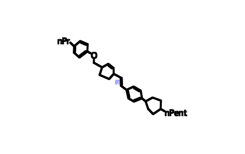 CCCCCC1CCC(c2ccc(/C=C/C3C=CC(COc4ccc(CCC)cc4)CC3)cc2)CC1